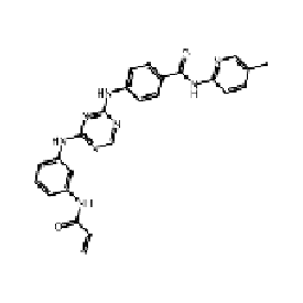 C=CC(=O)Nc1cccc(Nc2ncnc(Nc3ccc(C(=O)Nc4ccc(C)cn4)cc3)n2)c1